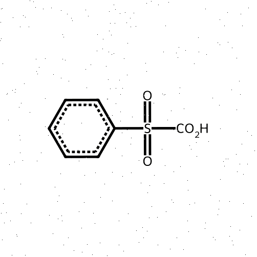 O=C(O)S(=O)(=O)c1ccccc1